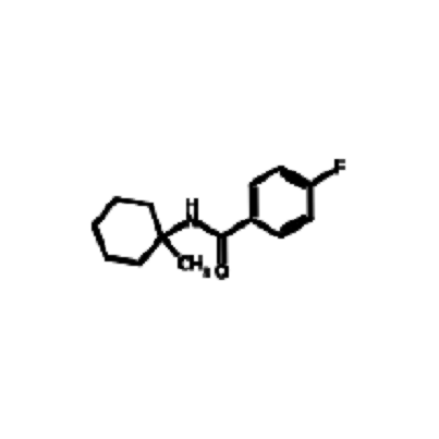 CC1(NC(=O)c2ccc(F)cc2)CCCCC1